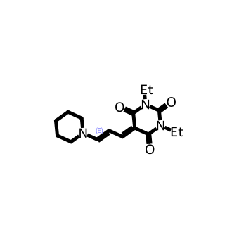 CCN1C(=O)C(=C/C=C/N2CCCCC2)C(=O)N(CC)C1=O